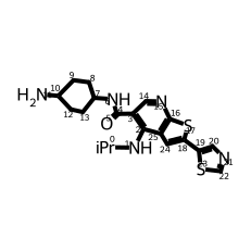 CC(C)Nc1c(C(=O)NC2CCC(N)CC2)cnc2sc(-c3cncs3)cc12